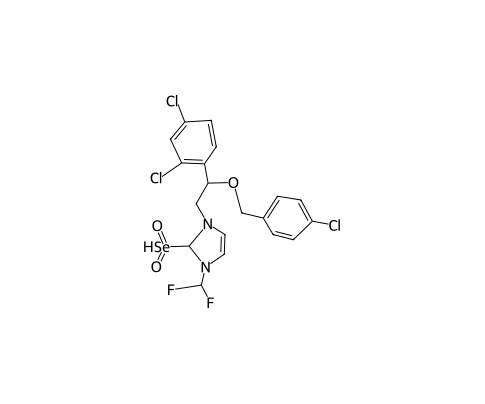 O=[SeH](=O)C1N(CC(OCc2ccc(Cl)cc2)c2ccc(Cl)cc2Cl)C=CN1C(F)F